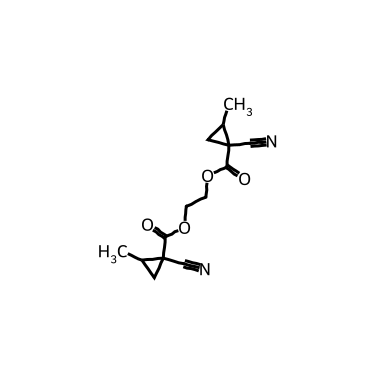 CC1CC1(C#N)C(=O)OCCOC(=O)C1(C#N)CC1C